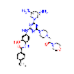 Cc1ccc(C(=O)Nc2ccc(Nc3nc(N4CCN(CC(=O)N5CCOCC5)CC4)nc(N4C[C@H](N)C[C@H](N)C4)n3)cc2O)cc1